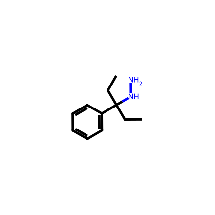 CCC(CC)(NN)c1ccccc1